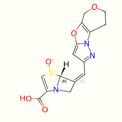 O=C(O)C1=C[S+]([O-])[C@@H]2/C(=C\c3cc4oc5c(n4n3)CCOC5)CN12